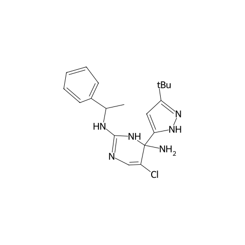 CC(NC1=NC=C(Cl)C(N)(c2cc(C(C)(C)C)n[nH]2)N1)c1ccccc1